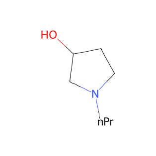 CCCN1CCC(O)C1